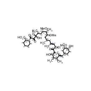 CC[C@H](/C=C(\C)C[C@H](C)C[C@H](OC)[C@@H](C)[C@H](C[C@@H](C)C(O)(O)C(=O)C(=O)N1CCCC[C@H]1C(=O)O)OC)C(=O)C[C@H](O)[C@@H](C)[C@H](C)/C(C)=C/[C@@H]1CC[C@@H](O)[C@H](OC)C1